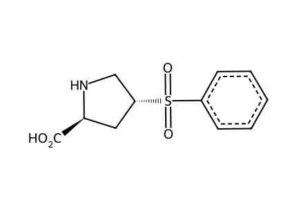 O=C(O)[C@@H]1C[C@@H](S(=O)(=O)c2ccccc2)CN1